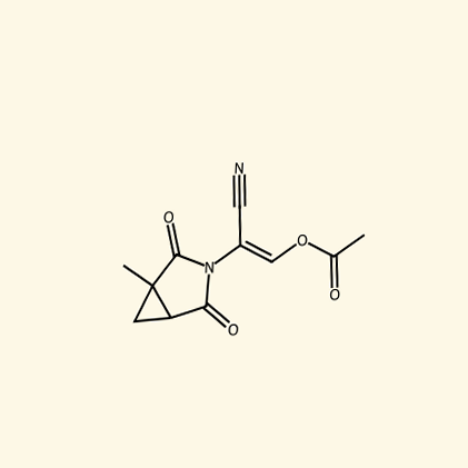 CC(=O)O/C=C(\C#N)N1C(=O)C2CC2(C)C1=O